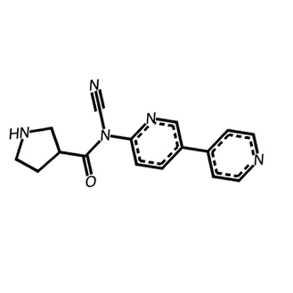 N#CN(C(=O)C1CCNC1)c1ccc(-c2ccncc2)cn1